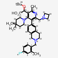 Cc1cc(F)ccc1CN1CCc2cc(-c3c(CN4CCC4)nc(C)c(C(OC(C)(C)C)C(=O)O)c3N3CCC(C)(C)CC3)ccc2C1